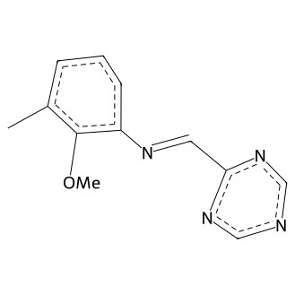 COc1c(C)cccc1/N=C/c1ncncn1